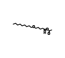 CCCCCCCCCOCCCCNOC(C)=O